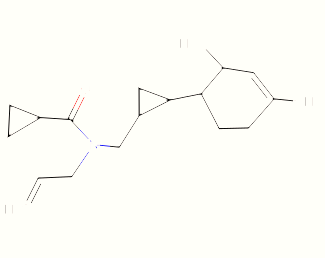 C=CCN(CC1CC1C1CCC(C)=CC1C)C(=O)C1CC1